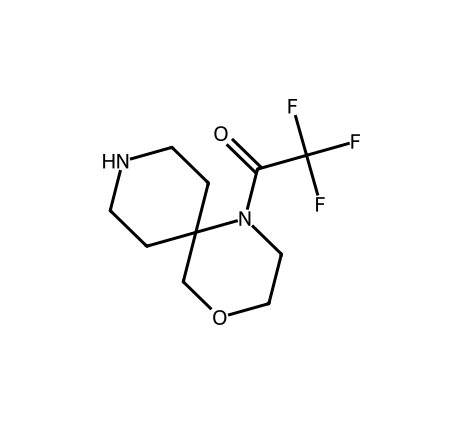 O=C(N1CCOCC12CCNCC2)C(F)(F)F